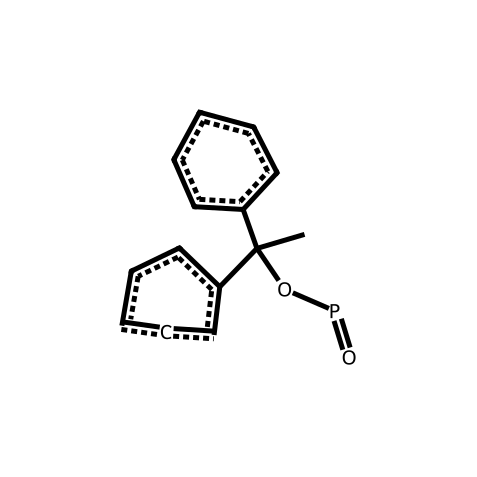 CC(OP=O)(c1ccccc1)c1ccccc1